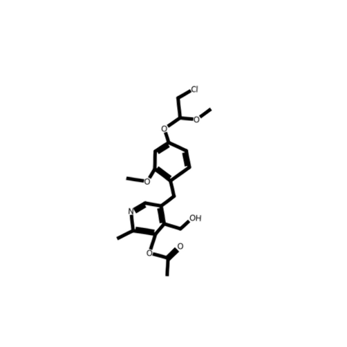 COc1cc(OC(CCl)OC)ccc1Cc1cnc(C)c(OC(C)=O)c1CO